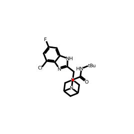 CC(C)(C)NC(=O)CN1C2CC1CN(Cc1nc3c(Cl)cc(F)cc3[nH]1)C2